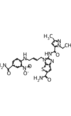 CCn1nc(C)cc1C(=O)Nc1nc2cc(C(N)=O)sc2n1C/C=C/CNc1ccc(C(N)=O)cc1[N+](=O)[O-]